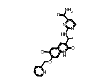 C[C@H](Nc1nccc(C(N)=O)n1)c1cc2cc(Cl)c(OCc3ccccn3)cc2[nH]c1=O